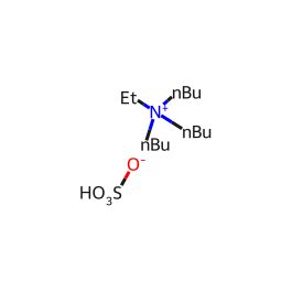 CCCC[N+](CC)(CCCC)CCCC.O=S(=O)([O-])O